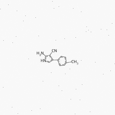 Cc1ccc(-c2c[nH]c(N)c2C#N)cc1